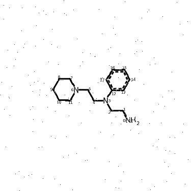 NCCN(CCN1CCCCC1)c1ccccc1